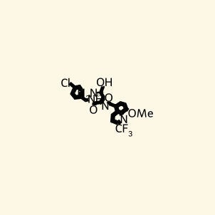 COc1ccc(-c2nc(C(=O)NCc3ccc(Cl)cc3)c([C@@H](N)CO)o2)c2ccc(C(F)(F)F)nc12